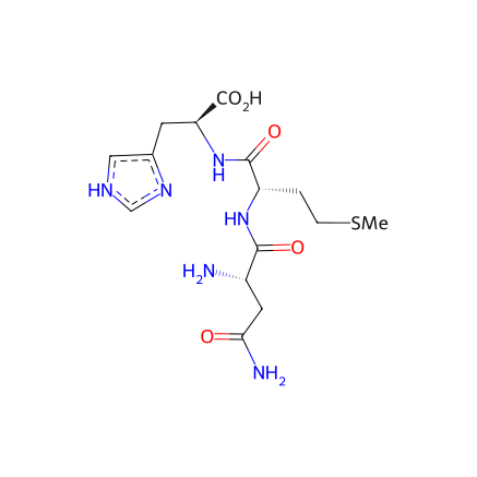 CSCC[C@H](NC(=O)[C@@H](N)CC(N)=O)C(=O)N[C@@H](Cc1c[nH]cn1)C(=O)O